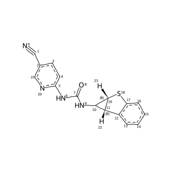 N#Cc1ccc(NC(=O)NC2[C@H]3c4ccccc4S[C@@H]23)nc1